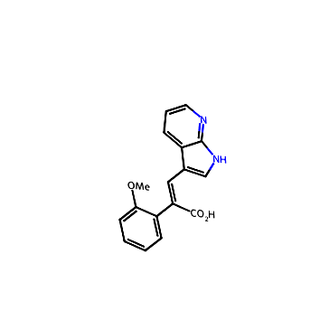 COc1ccccc1C(=Cc1c[nH]c2ncccc12)C(=O)O